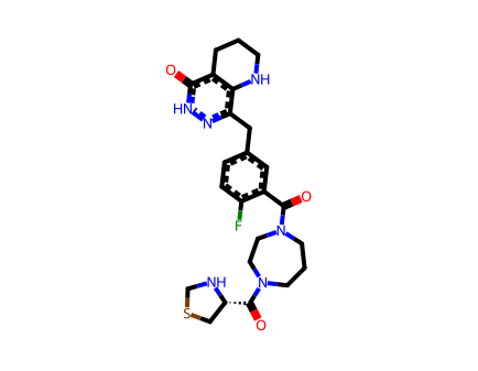 O=C(c1cc(Cc2n[nH]c(=O)c3c2NCCC3)ccc1F)N1CCCN(C(=O)[C@@H]2CSCN2)CC1